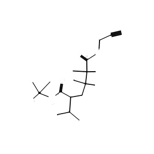 C#CCOC(=O)C(C)(C)C(C)(C)CC(C(=O)OC(C)(C)C)C(C)C